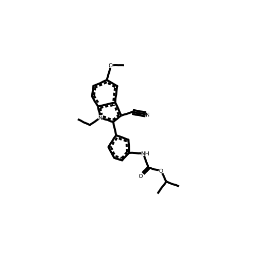 CCn1c(-c2cccc(NC(=O)OC(C)C)c2)c(C#N)c2cc(OC)ccc21